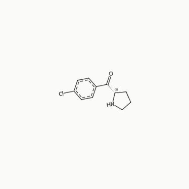 O=C(c1ccc(Cl)cc1)[C@@H]1CCCN1